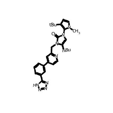 CCCCc1cn(-c2c(C(C)(C)C)ccn2C)c(=O)n1Cc1cc(-c2cccc(-c3nnn[nH]3)c2)ccn1